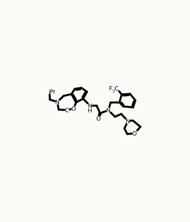 CC(C)CN1CCOc2c(cccc2NCC(=O)N(CCN2CCOCC2)Cc2ccccc2C(F)(F)F)C1